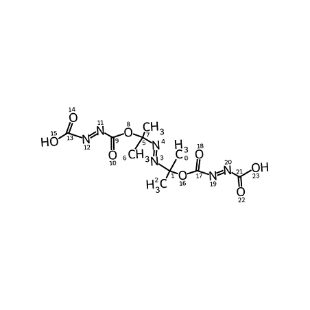 CC(C)(/N=N/C(C)(C)OC(=O)/N=N/C(=O)O)OC(=O)/N=N/C(=O)O